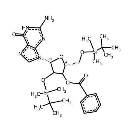 CC(C)(C)[Si](C)(C)OC[C@H]1O[C@@H](n2cnc3c(=O)[nH]c(N)nc32)C(O[Si](C)(C)C(C)(C)C)C1OC(=O)c1ccccc1